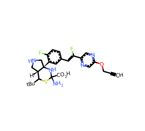 C#CCOc1cnc(/C(F)=C/c2ccc(F)c([C@]34CNC[C@H]3C(C(C)(C)C)SC(N)(C(=O)O)N4)c2)cn1